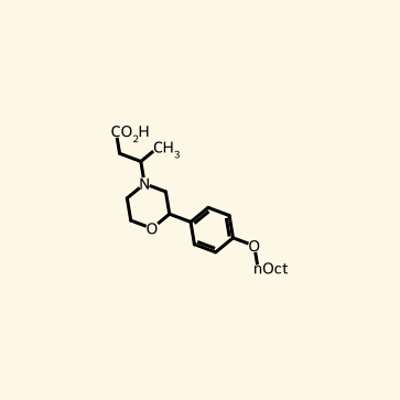 CCCCCCCCOc1ccc(C2CN(C(C)CC(=O)O)CCO2)cc1